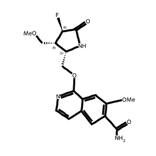 COC[C@H]1[C@@H](COc2nccc3cc(C(N)=O)c(OC)cc23)NC(=O)[C@@H]1F